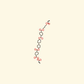 C=CC(=O)OCCCCOC(=O)C1CCC(C(=O)OC2CCC(C3CCC(OC(=O)C4CCC(C(=O)OOC(=O)C=C)CC4)CC3)CC2)CC1